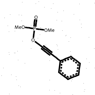 COP(=O)(OC)OC#Cc1ccccc1